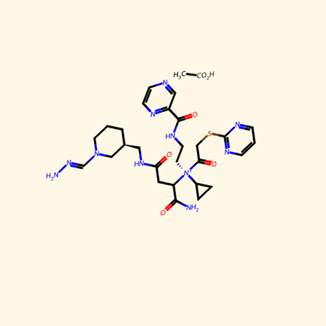 CC(=O)O.NN=CN1CCC[C@@H](CNC(=O)CC(C(N)=O)[N@@+](CCNC(=O)c2cnccn2)(C(=O)CSc2ncccn2)C2CC2)C1